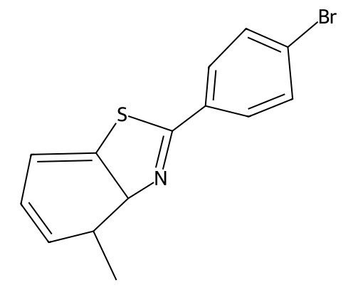 CC1C=CC=C2SC(c3ccc(Br)cc3)=NC21